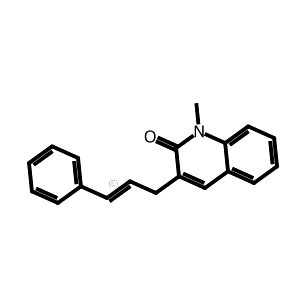 Cn1c(=O)c(C/C=C/c2ccccc2)cc2ccccc21